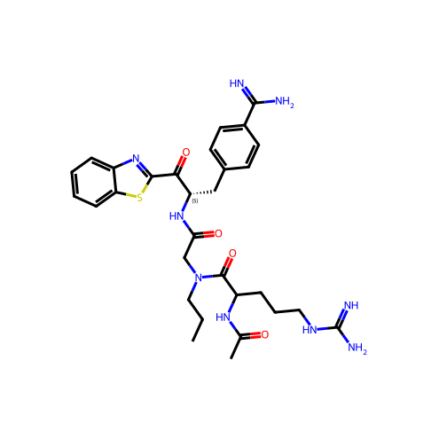 CCCN(CC(=O)N[C@@H](Cc1ccc(C(=N)N)cc1)C(=O)c1nc2ccccc2s1)C(=O)C(CCCNC(=N)N)NC(C)=O